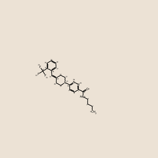 CCCCNC(=O)c1ccc(N2CCC(=Cc3ccccc3C(F)(F)F)CC2)nn1